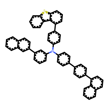 c1cc(-c2ccc3ccccc3c2)cc(N(c2ccc(-c3ccc(-c4cccc5ccccc45)cc3)cc2)c2ccc(-c3cccc4sc5ccccc5c34)cc2)c1